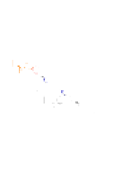 CCCC/C(C)=C/CC/C(C)=C/COPP